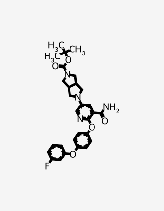 CC(C)(C)OC(=O)N1CC2CN(c3cnc(Oc4ccc(Oc5cccc(F)c5)cc4)c(C(N)=O)c3)CC2C1